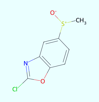 C[S+]([O-])c1ccc2oc(Cl)nc2c1